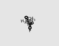 CC(C)(NC(=O)c1nn(-c2ccc(F)cc2)c2c1C1CCC2C1)c1ccccc1